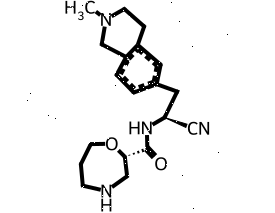 CN1CCc2cc(C[C@@H](C#N)NC(=O)[C@@H]3CNCCCO3)ccc2C1